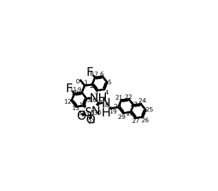 CC(c1ccccc1F)c1c(F)ccc2c1NC(NCc1ccc3ccccc3c1)=NS2(=O)=O